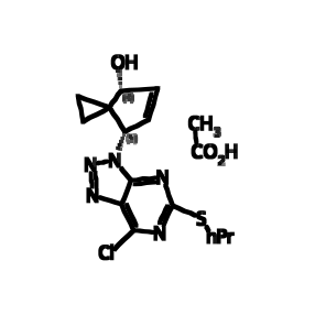 CC(=O)O.CCCSc1nc(Cl)c2nnn([C@H]3C=C[C@@H](O)C34CC4)c2n1